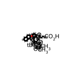 Cc1ccc2ccccc2c1CN1C(=O)C(NC(=O)C(C)N(C)C(=O)OC(C)(C)C)CN(C(=O)CCCC(=O)O)c2ccccc21